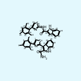 Cc1cc(C)c(-c2csc(-c3c(C(N)=O)[nH]c4ccccc34)n2)c(C)c1.Cc1cc(C)c(-c2csc(NC(=O)c3cc4ccccc4[nH]3)n2)c(C)c1